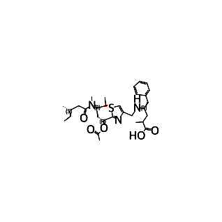 CC[C@H](C)CC(=O)N(C)[C@H](C[C@@H](OC(C)=O)c1nc(CN[C@@H](Cc2ccccc2)CC(C)C(=O)O)cs1)C(C)C